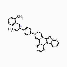 C=C/C(=C\c1ccccc1C)c1ccc(-c2ccc3c(c2)c2nccnc2n2c4ccccc4nc32)cc1